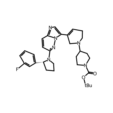 CC(C)(C)OC(=O)N1CCC(N2CCC=C(c3cnc4ccc(N5CCC[C@@H]5c5cccc(F)c5)nn34)C2)CC1